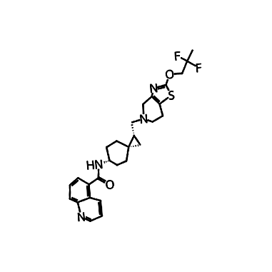 CC(F)(F)COc1nc2c(s1)CCN(C[C@@H]1C[C@]13CC[C@@H](NC(=O)c1cccc4ncccc14)CC3)C2